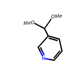 COC(OC)c1cccnc1